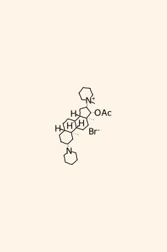 CC(=O)O[C@H]1[C@@H]([N+]2(C)CCCCC2)C[C@H]2[C@@H]3CC[C@H]4CC[C@@H](N5CCCCC5)C[C@]4(C)[C@H]3CC[C@@]21C.[Br-]